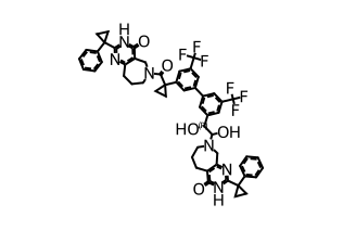 O=C(N1CCCc2nc(C3(c4ccccc4)CC3)[nH]c(=O)c2C1)C1(c2cc(-c3cc([C@@H](O)C(O)N4CCCc5c(nc(C6(c7ccccc7)CC6)[nH]c5=O)C4)cc(C(F)(F)F)c3)cc(C(F)(F)F)c2)CC1